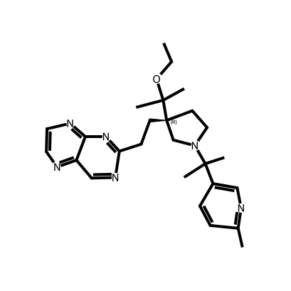 CCOC(C)(C)[C@]1(CCc2ncc3nccnc3n2)CCN(C(C)(C)c2ccc(C)nc2)C1